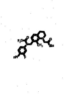 CCCc1ccc(N(Cc2ccc3c(c2C)N(CC(=O)C(C)(C)C)CCC3)C(=O)C(F)(F)F)cc1F